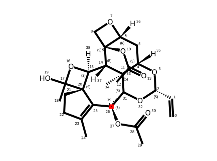 C=C[C@H]1O[C@H]2C[C@H]3OC[C@@]3(OC(C)=O)[C@H]3[C@@H]4OC(C)(O)[C@]45CCC(C)=C5[C@H](OC(C)=O)[C@H](O1)[C@]23C